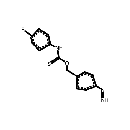 N=Nc1ccc(COC(=S)Nc2ccc(F)cc2)cc1